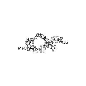 CCn1c(-c2cccnc2[C@H](C)OC)c2c3cc(ccc31)N1CCO[C@@H](C[C@H](NC(=O)[C@H](C3CCCC3)N3CC[C@]4(CCN(C(=O)OC(C)(C)C)C4)C3)C(=O)N3CCC[C@H](N3)C(=O)OCC(C)(C)C2)C1